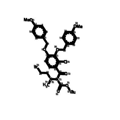 COc1ccc(COc2ccc(C(=O)N(C(=O)OC(C)(C)C)N(C)CCBr)c(Cl)c2OCc2ccc(OC)cc2)cc1